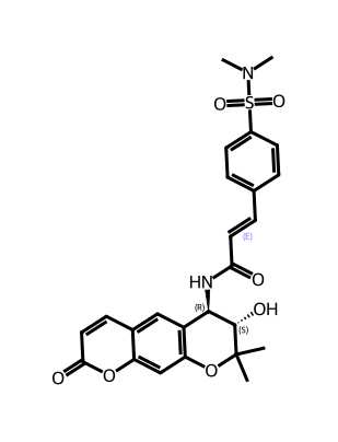 CN(C)S(=O)(=O)c1ccc(/C=C/C(=O)N[C@@H]2c3cc4ccc(=O)oc4cc3OC(C)(C)[C@H]2O)cc1